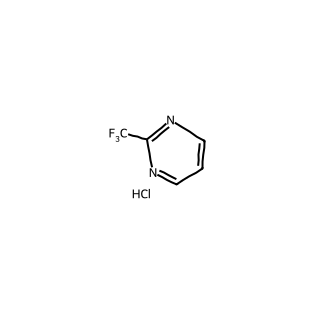 Cl.FC(F)(F)c1ncccn1